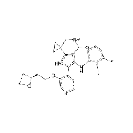 Cc1c(F)cccc1Nc1c(-c2ccncc2OCC[C@@H]2CCO2)[nH]c2c1C(=O)NCC21CC1